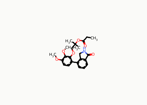 CCC(=O)OC(C)(C)COc1c(-c2cccc3c2CNC3=O)ccc(OC)c1OC